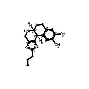 CCCc1nc2c(s1)CN[C@@H]1CCc3cc(O)c(O)cc3[C@@H]21